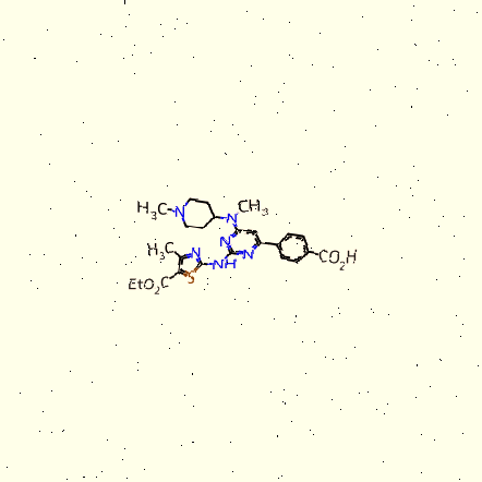 CCOC(=O)c1sc(Nc2nc(-c3ccc(C(=O)O)cc3)cc(N(C)C3CCN(C)CC3)n2)nc1C